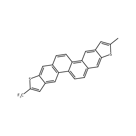 Cc1cc2cc3c(ccc4c5cc6cc(C(F)(F)F)sc6cc5ccc34)cc2s1